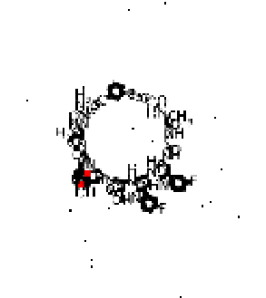 C[C@H]1NC(=O)CCSCc2cccc(c2)CSC[C@@H](C(N)=O)NC(=O)[C@]2(C)CCCN2C(=O)[C@H](Cc2ccc(O)cc2)NC(=O)[C@H](Cc2cnc[nH]2)NC(=O)[C@H](CC(=O)O)NC(=O)[C@H](Cc2c[nH]c3ccc(F)cc23)NC(=O)[C@H](Cc2c[nH]c3ccc(F)cc23)NC(=O)CNC1=O